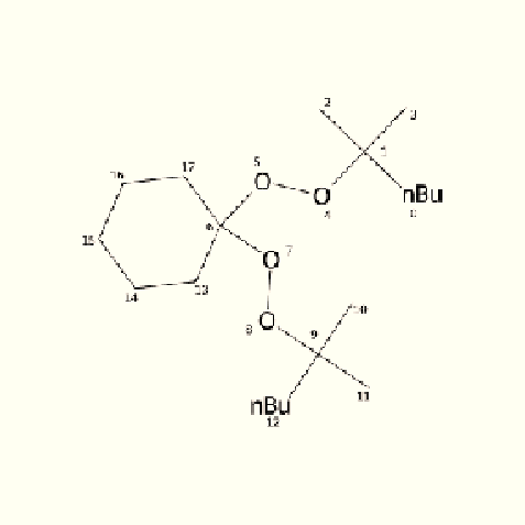 CCCCC(C)(C)OOC1(OOC(C)(C)CCCC)CCCCC1